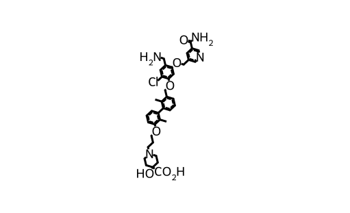 Cc1c(COc2cc(OCc3cncc(C(N)=O)c3)c(CN)cc2Cl)cccc1-c1cccc(OCCCN2CCC(O)(C(=O)O)CC2)c1C